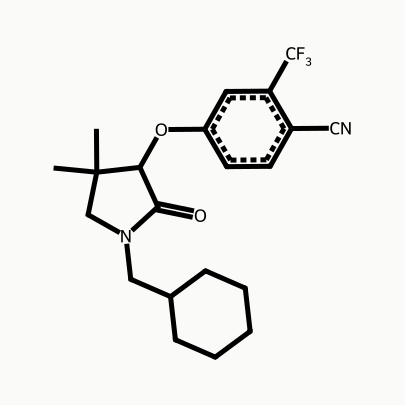 CC1(C)CN(CC2CCCCC2)C(=O)C1Oc1ccc(C#N)c(C(F)(F)F)c1